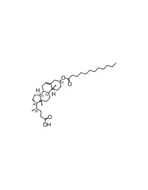 CCCCCCCCCCCC(=O)O[C@H]1CC[C@@]2(C)C(=CCC3[C@@H]4CC[C@H]([C@H](C)CCC(=O)O)[C@@]4(C)CC[C@@H]32)C1